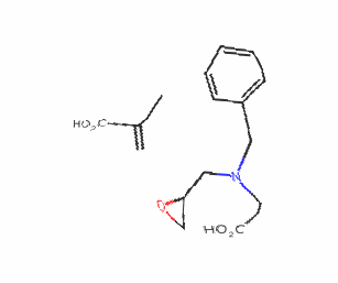 C=C(C)C(=O)O.O=C(O)CN(Cc1ccccc1)CC1CO1